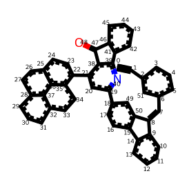 C#Cc1cccc(/C=C2/c3ccccc3-c3ccc(-c4cc(-c5ccc6ccc7cccc8ccc5c6c78)c5c(n4)-c4ccccc4C5=O)cc32)c1